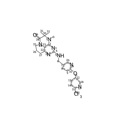 CN1c2nc(NCc3ccc(Oc4ccc(C(F)(F)F)nc4)nc3)nc3c2N(CCC3)C(=O)C1(C)C